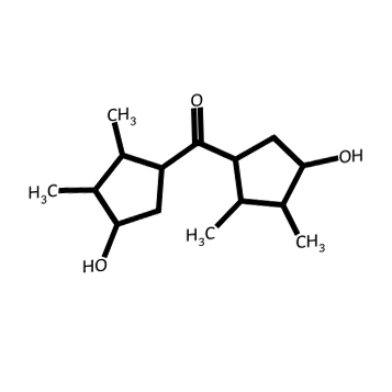 CC1C(O)CC(C(=O)C2CC(O)C(C)C2C)C1C